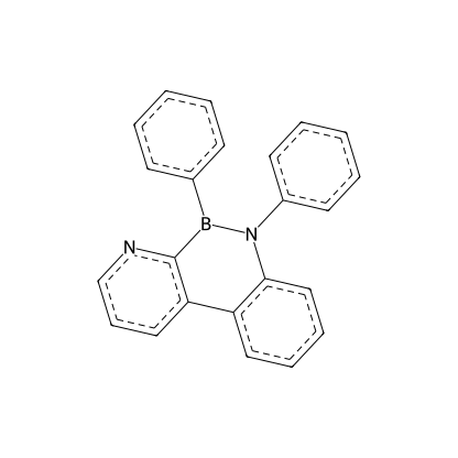 c1ccc(B2c3ncccc3-c3ccccc3N2c2ccccc2)cc1